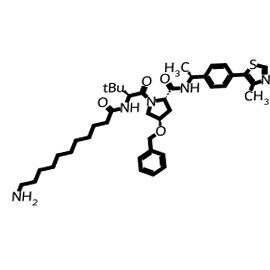 Cc1ncsc1-c1ccc([C@H](C)NC(=O)[C@@H]2C[C@@H](OCc3ccccc3)CN2C(=O)[C@@H](NC(=O)CCCCCCCCCCN)C(C)(C)C)cc1